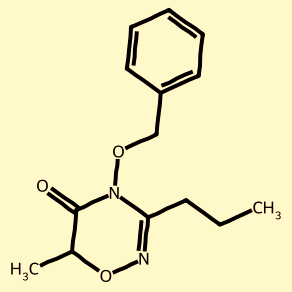 CCCC1=NOC(C)C(=O)N1OCc1ccccc1